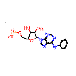 O=[PH](O)OCC1OC(n2cnc3c(Nc4ccccc4)ncnc32)C(O)C1O